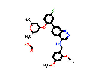 COc1ccc(CNc2cnnc3cc(-c4cc(Cl)ccc4OC4C[C@@H](C)O[C@@H](C)C4)ccc23)c(OC)c1.O=CO